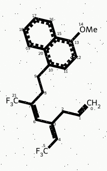 C=CCC(=C/C(F)(F)F)/C=C(\CCc1ccc(OC)c2ccccc12)C(F)(F)F